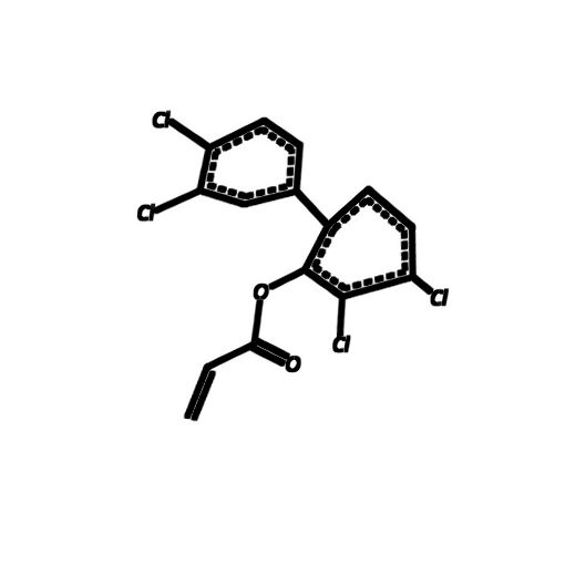 C=CC(=O)Oc1c(-c2ccc(Cl)c(Cl)c2)ccc(Cl)c1Cl